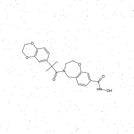 CC(C)(C(=O)N1CCOc2cc(C(=O)NO)ccc2C1)c1ccc2c(c1)OCCO2